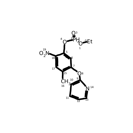 CCO[PH](=O)Oc1cc(Oc2ccccn2)c(C)cc1[N+](=O)[O-]